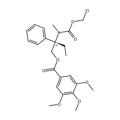 CC[C@@](COC(=O)c1cc(OC)c(OC)c(OC)c1)(c1ccccc1)N(C)C(=O)OCCl